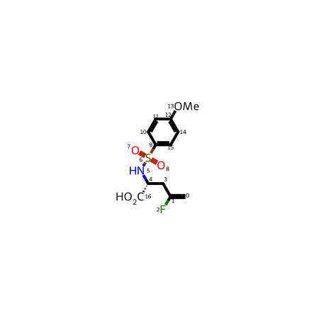 C=C(F)C[C@@H](NS(=O)(=O)c1ccc(OC)cc1)C(=O)O